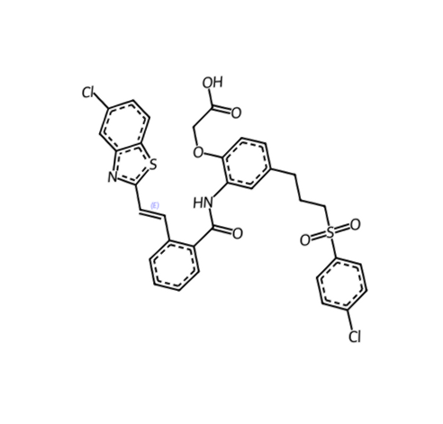 O=C(O)COc1ccc(CCCS(=O)(=O)c2ccc(Cl)cc2)cc1NC(=O)c1ccccc1/C=C/c1nc2cc(Cl)ccc2s1